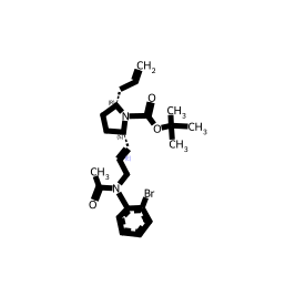 C=CC[C@H]1CC[C@@H](/C=C/CN(C(C)=O)c2ccccc2Br)N1C(=O)OC(C)(C)C